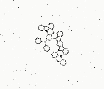 c1ccc(N(c2ccccc2)c2cc3c4c(c2)-n2c5cc6c(cc5c5cccc(c52)B4c2cccc4c5ccccc5n-3c24)c2cccc3c2n6-c2cccc4c2B3c2ccccc2O4)cc1